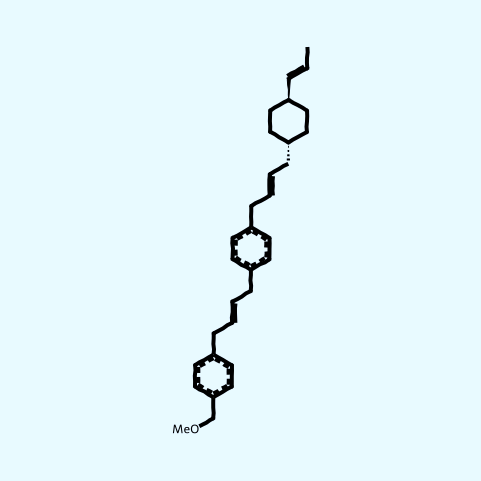 CC=C[C@H]1CC[C@H](CC=CCc2ccc(CC=CCc3ccc(COC)cc3)cc2)CC1